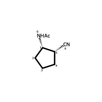 CC(=O)N[C@H]1CCC[C@H]1C#N